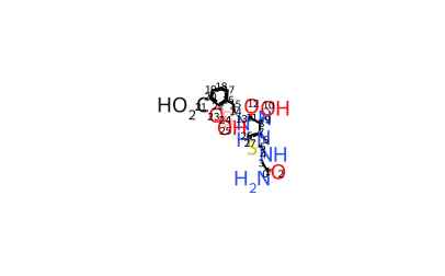 NC(=O)CNc1nc(/C(=N/O)C(=O)N[C@H]2Cc3cccc(C(=O)O)c3OB2O)cs1